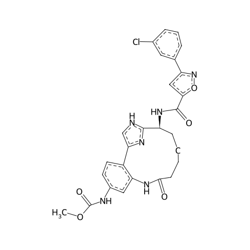 COC(=O)Nc1ccc2c(c1)NC(=O)CCCC[C@H](NC(=O)c1cc(-c3cccc(Cl)c3)no1)c1nc-2c[nH]1